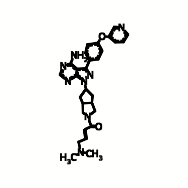 CN(C)CC=CC(=O)N1CC2CC(n3nc(-c4ccc(Oc5cccnc5)cc4)c4c(N)ncnc43)CC2C1